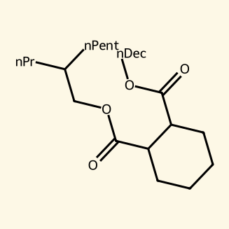 CCCCCCCCCCOC(=O)C1CCCCC1C(=O)OCC(CCC)CCCCC